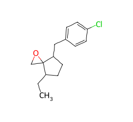 CCC1CCC(Cc2ccc(Cl)cc2)C12CO2